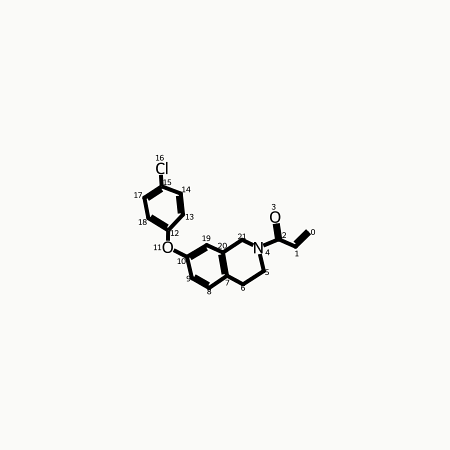 C=CC(=O)N1CCc2ccc(Oc3ccc(Cl)cc3)cc2C1